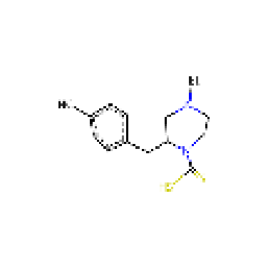 CCN1CCN(C(=S)S)C(Cc2ccc(C#N)cc2)C1